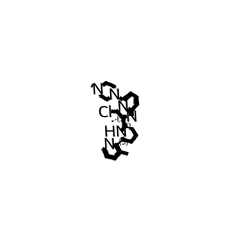 Cc1cccnc1[C@@H]1CCC[C@H]([C@]2(C)N=C3C=CC=C(N4CCN(C)CC4)N3C2Cl)N1